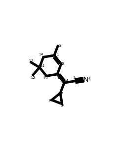 CC1=CC(=C(C#N)C2CC2)CC(C)(C)C1